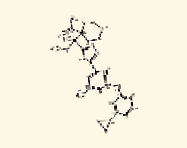 CCC(O)(c1ncc(-c2cc(C)cc(Nc3cc(C4CC4)ccn3)n2)s1)C1(C(=O)O)CCCCC1